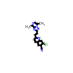 Cc1ncc(C)n2nc(C=Cc3ccc4cc(C#N)c(Cl)cc4n3)nc12